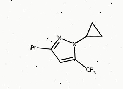 CC(C)c1cc(C(F)(F)F)n(C2CC2)n1